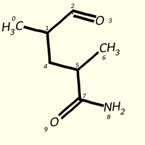 CC([C]=O)CC(C)C(N)=O